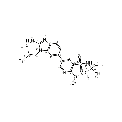 COc1ncc(-c2ccc3nc(N)n(CC(C)C)c3c2)cc1S(=O)(=O)NC(C)(C)C